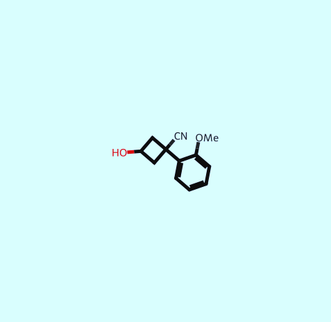 COc1ccccc1C1(C#N)CC(O)C1